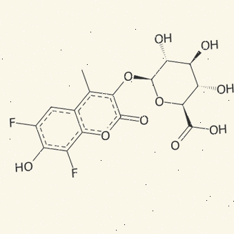 Cc1c(O[C@@H]2O[C@H](C(=O)O)[C@@H](O)[C@H](O)[C@H]2O)c(=O)oc2c(F)c(O)c(F)cc12